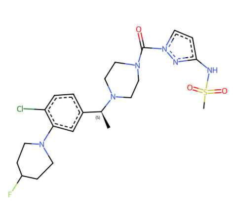 C[C@@H](c1ccc(Cl)c(N2CCC(F)CC2)c1)N1CCN(C(=O)n2ccc(NS(C)(=O)=O)n2)CC1